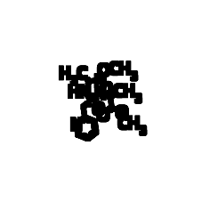 COC(=O)C(C)NP(=O)(Cc1ccccn1)NC(C)C(=O)OC